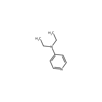 [CH2]CN(CC)c1ccncc1